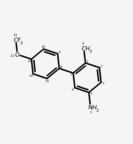 Cc1ccc(N)cc1-c1ccc(OC(F)(F)F)cc1